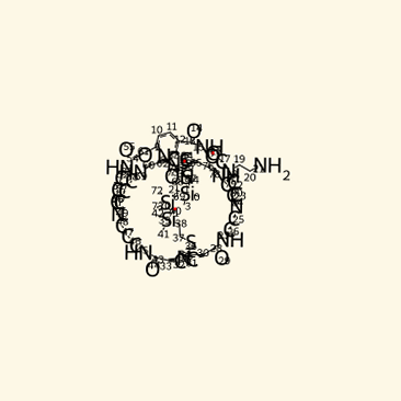 C[Si](C)(C)CCSc1nc2ccc1C(=O)NCCN(CCN)CCN1CCNC(=O)c3ccc(nc3SCC[Si](C)(C)C)C(=O)NCCCN(CCCNC2=O)CCCNC(=O)c2ccc(c(SCC[Si](C)(C)C)[n+]2O)C(=O)NCC1